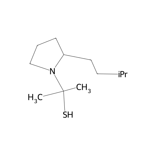 CC(C)CCC1CCCN1C(C)(C)S